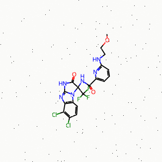 COCCNc1cccc(C(=O)NC2(C(F)(F)F)C(=O)Nc3nc4c(Cl)c(Cl)ccc4n32)n1